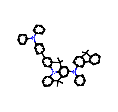 CC1(C)c2ccccc2-c2cc(N(c3ccccc3)c3cc4c5c(c3)C(C)(C)c3cc(-c6ccc(N(c7ccccc7)c7ccccc7)cc6)ccc3N5c3ccccc3C4(C)C)ccc21